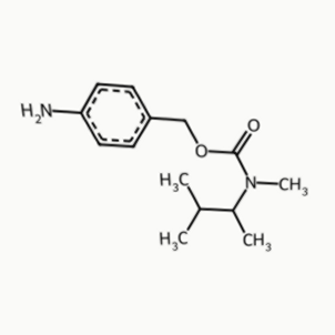 CC(C)C(C)N(C)C(=O)OCc1ccc(N)cc1